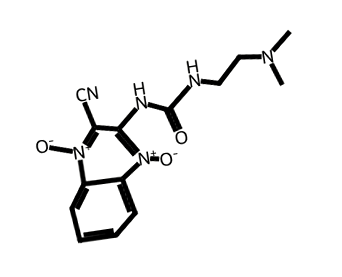 CN(C)CCNC(=O)Nc1c(C#N)[n+]([O-])c2ccccc2[n+]1[O-]